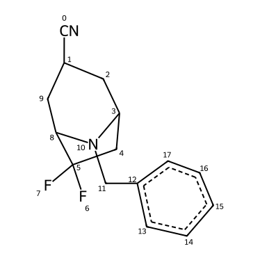 N#CC1CC2CC(F)(F)C(C1)N2Cc1ccccc1